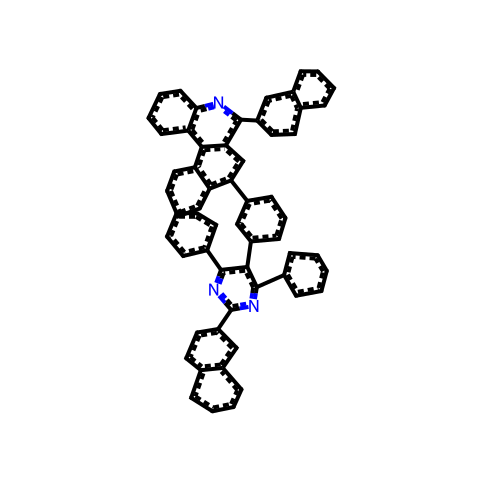 c1ccc(-c2nc(-c3ccc4ccccc4c3)nc(-c3ccccc3)c2-c2cccc(-c3cc4c(-c5ccc6ccccc6c5)nc5ccccc5c4c4ccccc34)c2)cc1